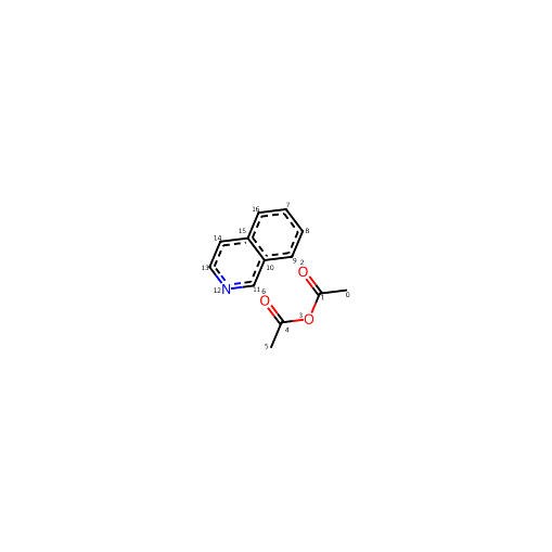 CC(=O)OC(C)=O.c1ccc2cnccc2c1